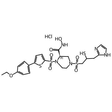 CCOc1ccc(-c2ccc(S(=O)(=O)N3CCN(S(=O)(=O)CC(S)Cc4ncc[nH]4)C[C@@H]3C(=O)NO)s2)cc1.Cl